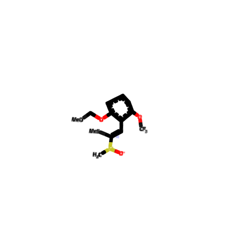 COCOc1cccc(OC(F)(F)F)c1/C=C(\SC)[S+](C)[O-]